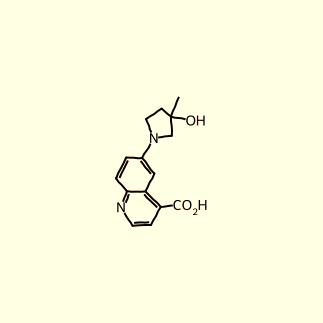 CC1(O)CCN(c2ccc3nccc(C(=O)O)c3c2)C1